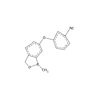 [C-]#[N+]c1cccc(Oc2ccc3c(c2)B(C)OC3)c1